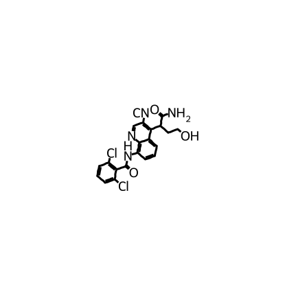 N#Cc1cnc2c(NC(=O)c3c(Cl)cccc3Cl)cccc2c1C(CCO)C(N)=O